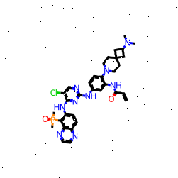 C=CC(=O)Nc1cc(Nc2ncc(Cl)c(Nc3ccc4nccnc4c3P(C)(C)=O)n2)ccc1N1CCC2(CC1)CC(N(C)C)C2